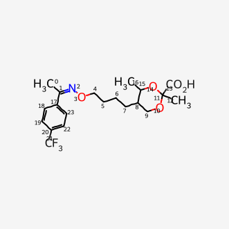 CC(=NOCCCCC1COC(C)(C(=O)O)OC1C)c1ccc(C(F)(F)F)cc1